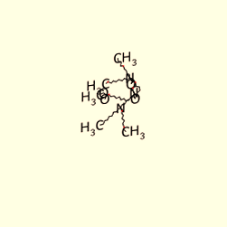 CCCCCCCCCN(CCCCCCCCC)CC/C(=C/CC(=O)N1CCC/C(=C/C(=O)CN(CCCCCCCCC)CCCCCCCCC)CC1)CCCCCCCC(=O)OC